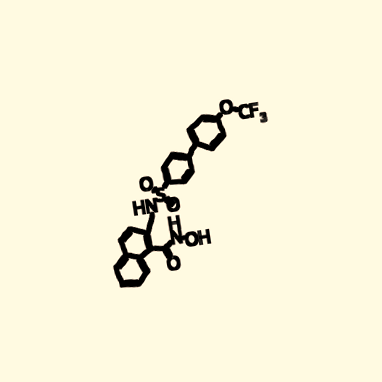 O=C(NO)c1c(CNS(=O)(=O)c2ccc(-c3ccc(OC(F)(F)F)cc3)cc2)ccc2ccccc12